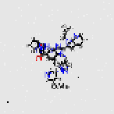 COc1cncc(-n2cc(Cn3c(-c4cc5cccnc5n4CC4CC4)nc4cc(C(=O)N5CC6CCC5[C@@H]6N)cc(OC)c43)cn2)c1